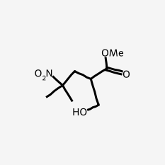 COC(=O)C(CO)CC(C)(C)[N+](=O)[O-]